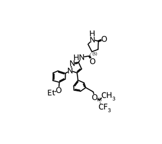 CCOc1cccc(-n2nc(NC(=O)[C@@H]3CNC(=O)C3)cc2-c2cccc(CO[C@H](C)C(F)(F)F)c2)c1